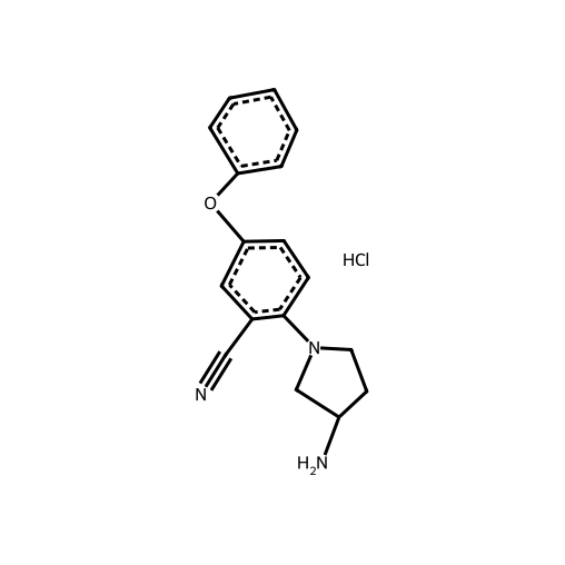 Cl.N#Cc1cc(Oc2ccccc2)ccc1N1CCC(N)C1